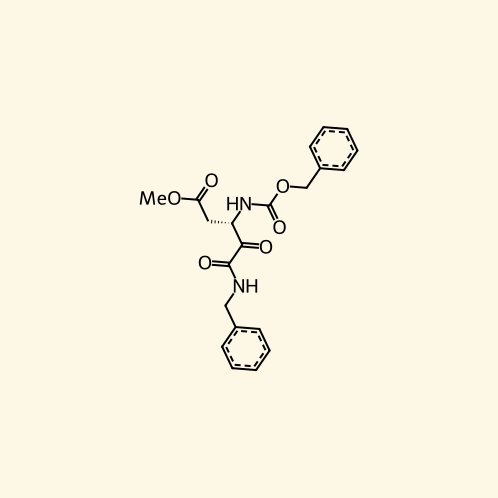 COC(=O)C[C@H](NC(=O)OCc1ccccc1)C(=O)C(=O)NCc1ccccc1